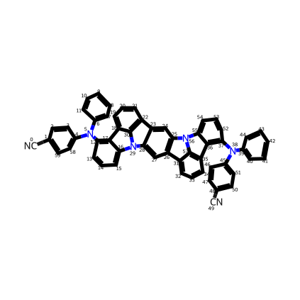 N#Cc1ccc(N(c2ccccc2)c2cccc3c2c2cccc4c5cc6c(cc5n3c42)c2cccc3c4c(N(c5ccccc5)c5ccc(C#N)cc5)cccc4n6c23)cc1